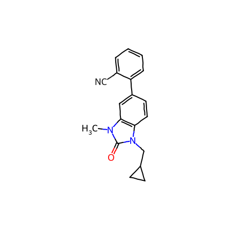 Cn1c(=O)n(CC2CC2)c2ccc(-c3ccccc3C#N)cc21